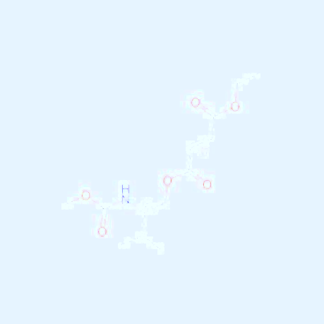 CCOC(=O)/C=C/C(=O)OC[C@@H](NC(=O)OC)C(C)C